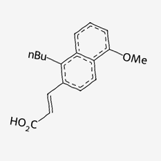 CCCCc1c(/C=C/C(=O)O)ccc2c(OC)cccc12